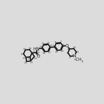 CN1CCC(Oc2ccc(-c3ccc(NC(=O)C45CCCC6CC(C4)C65)cc3)cc2)CC1